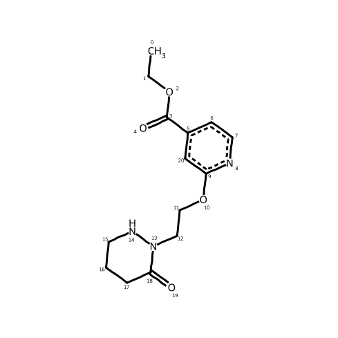 CCOC(=O)c1ccnc(OCCN2NCCCC2=O)c1